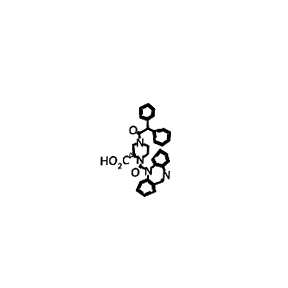 O=C(O)[C@@H]1CN(C(=O)C(c2ccccc2)c2ccccc2)CCN1C(=O)N1c2ccccc2C=Nc2ccccc21